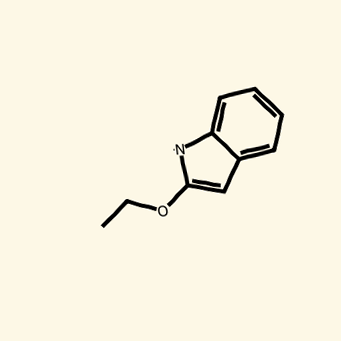 CCOC1=Cc2ccccc2[N]1